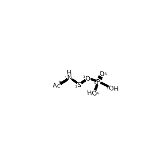 CC(=O)NSOP(=O)(O)O